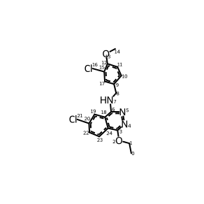 CCOc1nnc(NCc2ccc(OC)c(Cl)c2)c2cc(Cl)ccc12